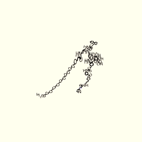 COCCOCCOCCOCCOCCOCCOCCOCCOCCOCCOCCOCCC(=O)NCCCC[C@H](NC(=O)OCC1c2ccccc2-c2ccccc21)C(=O)NCCC(=O)Nc1cc(COC(=O)Nc2cccc(C(=O)N3CCC(CCCCNC(=O)/C=C/c4cccnc4)CC3)c2)ccc1O[C@@H]1O[C@H](C(=O)O)[C@@H](O)[C@H](O)[C@H]1O